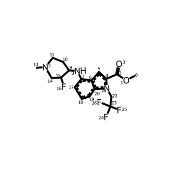 COC(=O)c1cc2c(NC3CCN(C)CC3F)cccc2n1CC(F)(F)F